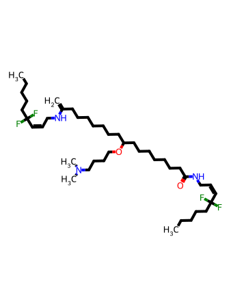 C=C(CCCCCCCC(CCCCCCCC(=O)NC/C=C\C(F)(F)CCCCC)OCCCCN(C)C)NC/C=C\C(F)(F)CCCCC